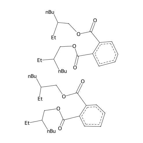 CCCCC(CC)COC(=O)c1ccccc1C(=O)OCC(CC)CCCC.CCCCC(CC)COC(=O)c1ccccc1C(=O)OCC(CC)CCCC